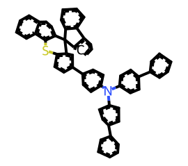 c1ccc(-c2ccc(N(c3ccc(-c4ccccc4)cc3)c3ccc(-c4ccc5c(c4)C4(c6ccccc6-c6ccccc64)c4ccc6ccccc6c4S5)cc3)cc2)cc1